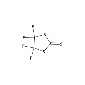 FC1(F)SC(=S)SC1(F)F